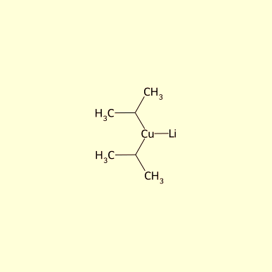 [Li][Cu]([CH](C)C)[CH](C)C